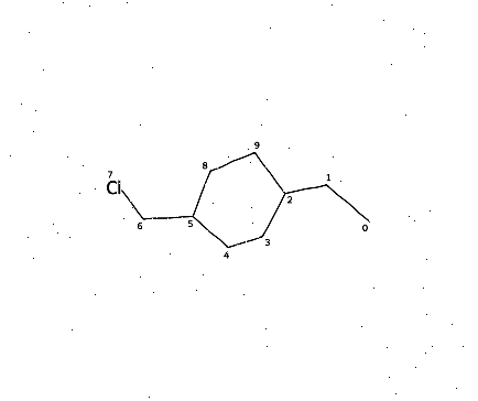 CCC1CCC(CCl)CC1